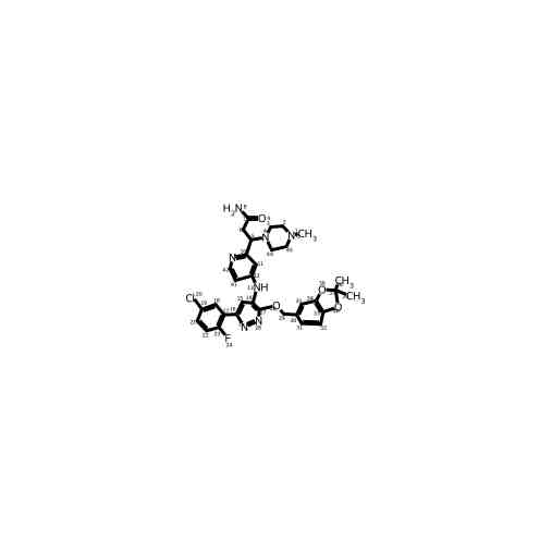 CN1CCN(C(CC(N)=O)c2cc(Nc3cc(-c4cc(Cl)ccc4F)nnc3OCc3ccc4c(c3)OC(C)(C)O4)ccn2)CC1